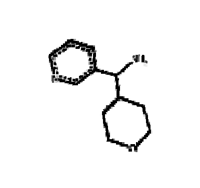 NC(c1cccnc1)C1CCOCC1